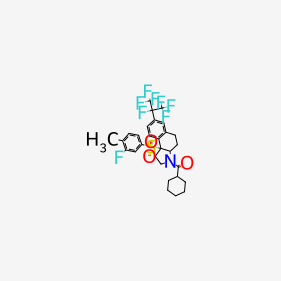 Cc1ccc(S(=O)(=O)C23CCN(C(=O)C4CCCCC4)C2CCc2cc(C(F)(C(F)(F)F)C(F)(F)F)ccc23)cc1F